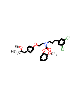 CCOC(Cc1ccc(OCCN(CCCc2cc(Cl)cc(Cl)c2)C(=O)Oc2ccccc2OC(F)(F)F)cc1)C(=O)O